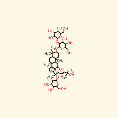 CC(C)(O)/C=C/CC(C)(OC1OC(CO)C(O)C(O)C1O)C1CCC2(C)C1C(O)CC1C3(C)CCC(OC4OC(CO)C(O)C(O)C4OC4OC(CO)C(O)C(O)C4O)C(C)(C)C3CCC12C